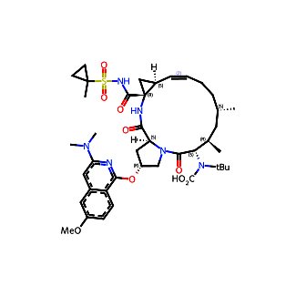 COc1ccc2c(O[C@@H]3C[C@H]4C(=O)N[C@]5(C(=O)NS(=O)(=O)C6(C)CC6)C[C@H]5/C=C\CC[C@H](C)C[C@@H](C)[C@H](N(C(=O)O)C(C)(C)C)C(=O)N4C3)nc(N(C)C)cc2c1